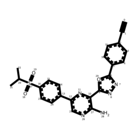 C#Cc1ccc(-c2nnc(-c3nc(-c4ccc(S(=O)(=O)C(C)C)cc4)cnc3N)o2)cc1